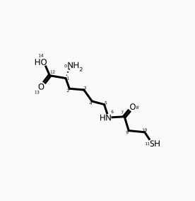 N[C@H](CCCCNC(=O)CCS)C(=O)O